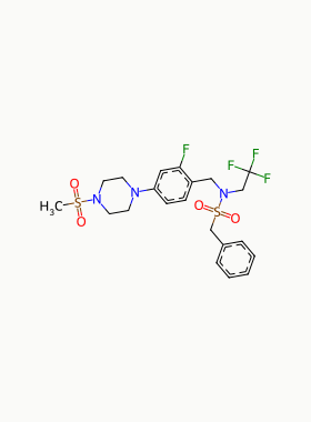 CS(=O)(=O)N1CCN(c2ccc(CN(CC(F)(F)F)S(=O)(=O)Cc3ccccc3)c(F)c2)CC1